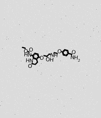 CCOC(=O)Nc1ccc(OCC(O)CNCCOc2ccc(C(N)=O)cc2)c2c1NC(=O)CC2